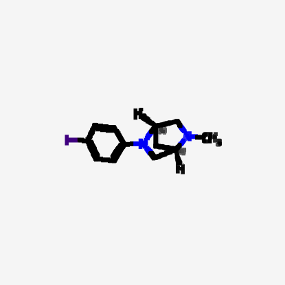 CN1C[C@@H]2C[C@H]1CN2c1ccc(I)cc1